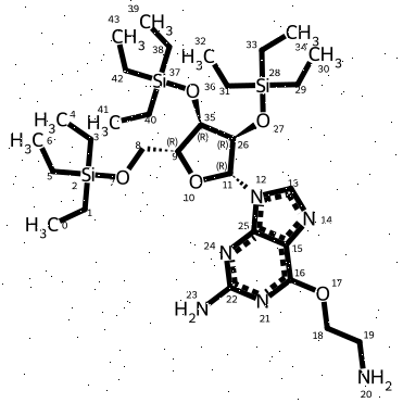 CC[Si](CC)(CC)OC[C@H]1O[C@@H](n2cnc3c(OCCN)nc(N)nc32)[C@H](O[Si](CC)(CC)CC)[C@@H]1O[Si](CC)(CC)CC